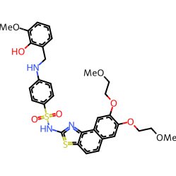 COCCOc1cc2ccc3sc(NS(=O)(=O)c4ccc(NCc5cccc(OC)c5O)cc4)nc3c2cc1OCCOC